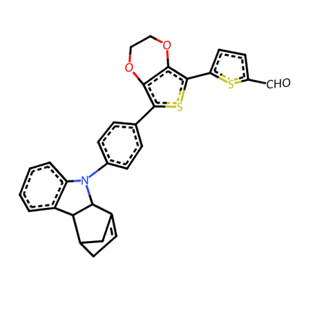 O=Cc1ccc(-c2sc(-c3ccc(N4c5ccccc5C5C6CC=C(C6)C54)cc3)c3c2OCCO3)s1